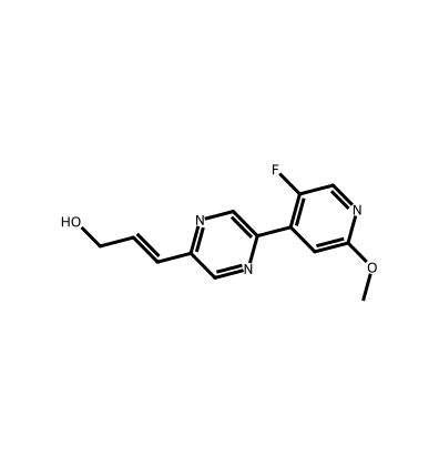 COc1cc(-c2cnc(C=CCO)cn2)c(F)cn1